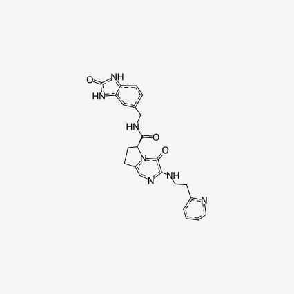 O=C(NCc1ccc2[nH]c(=O)[nH]c2c1)[C@@H]1CCc2cnc(NCCc3ccccn3)c(=O)n21